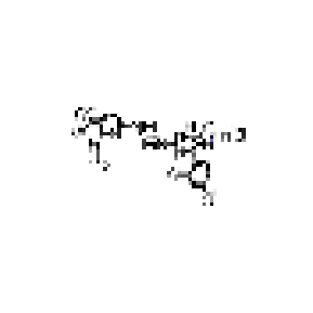 C/C(=N\c1cnc(NCCNc2ccc([N+](=O)[O-])c(N)n2)nc1-c1ccc(Cl)cc1Cl)N1CCCC1